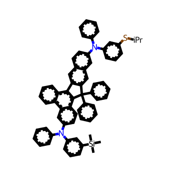 CC(C)Sc1cccc(N(c2ccccc2)c2ccc3cc4c(cc3c2)C(c2ccccc2)(c2ccccc2)c2c-4c3ccccc3c3cc(N(c4ccccc4)c4cccc([Si](C)(C)C)c4)ccc23)c1